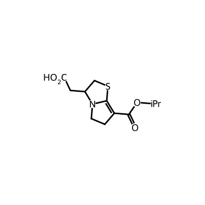 CC(C)OC(=O)C1=C2SCC(CC(=O)O)N2CC1